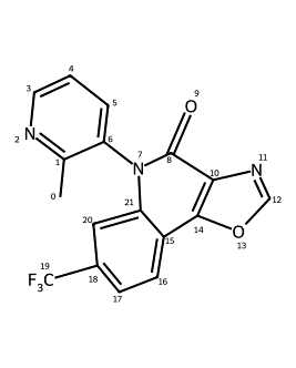 Cc1ncccc1-n1c(=O)c2ncoc2c2ccc(C(F)(F)F)cc21